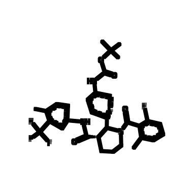 Cc1ccc(NC(=O)[C@H]2CCCN(C(=O)c3c(C)cccc3F)C2c2ccc(NC(=O)OC(C)(C)C)cc2)cc1C(F)(F)F